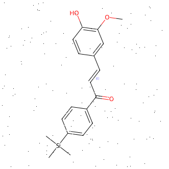 COc1cc(/C=C/C(=O)c2ccc([Si](C)(C)C)cc2)ccc1O